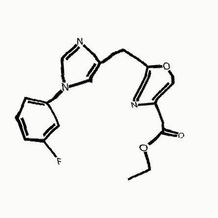 CCOC(=O)c1coc(Cc2cn(-c3cccc(F)c3)cn2)n1